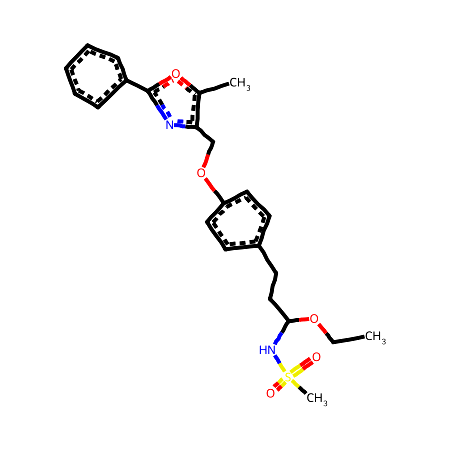 CCOC(CCc1ccc(OCc2nc(-c3ccccc3)oc2C)cc1)NS(C)(=O)=O